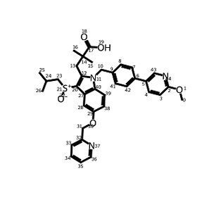 COc1ccc(-c2ccc(Cn3c(CC(C)(C)C(=O)O)c([S+]([O-])CC(C)C)c4cc(OCc5ccccn5)ccc43)cc2)cn1